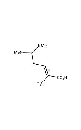 CNC(C/C=C(\C)C(=O)O)NC